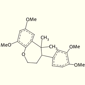 COc1cc(OC)c2c(c1)C(C)(C)C(c1ccc(OC)c(OC)c1)CCO2